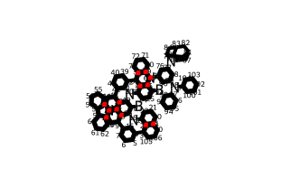 c1ccc(-c2cccc(-c3ccccc3)c2N2c3ccccc3B3c4cc5c(cc4N(c4c(-c6ccccc6)cccc4-c4ccccc4)c4cc(-n6c7ccccc7c7ccccc76)cc2c43)N(c2ccccc2)c2cc(N3C4CC6CC(C4)CC3C6)cc3c2B5c2ccccc2N3c2ccccc2)cc1